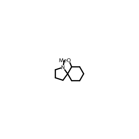 COC1CCCCC12CCCN2C